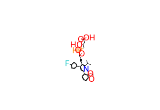 CC(C)c1nc(-c2cccc3c2OCO3)cc(-c2ccc(F)cc2)c1C#CCO[PH](=O)C[C@@H](O)CC(=O)O